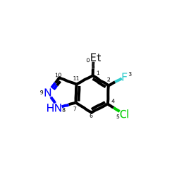 CCc1c(F)c(Cl)cc2[nH]ncc12